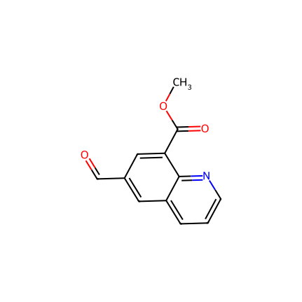 COC(=O)c1cc(C=O)cc2cccnc12